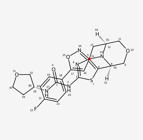 O=C(Nc1nc2c(s1)[C@@H]1COC[C@H](C2)N1c1cc(-c2ccc(F)cc2)on1)N[C@@H]1CCOC1